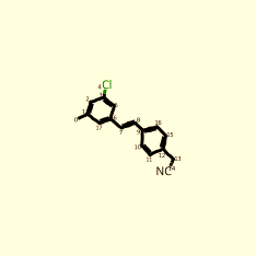 Cc1cc(Cl)cc(/C=C/c2ccc(CC#N)cc2)c1